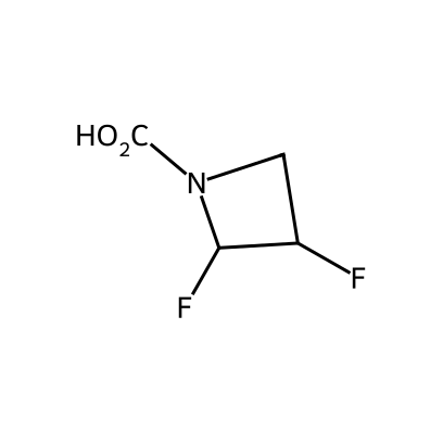 O=C(O)N1CC(F)C1F